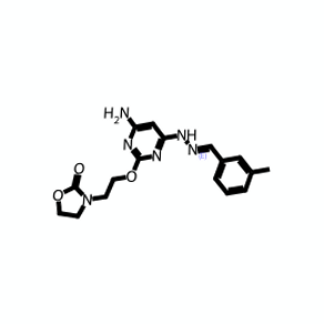 Cc1cccc(/C=N/Nc2cc(N)nc(OCCN3CCOC3=O)n2)c1